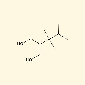 CC(C)C(C)(C)C(CO)CO